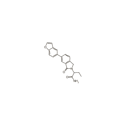 CCC(C(N)=O)N1Cc2ccc(-c3ccc4occc4c3)cc2C1=O